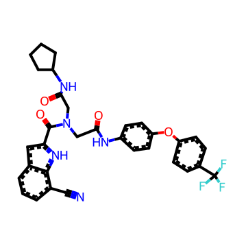 N#Cc1cccc2cc(C(=O)N(CC(=O)Nc3ccc(Oc4ccc(C(F)(F)F)cc4)cc3)CC(=O)NC3CCCC3)[nH]c12